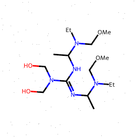 CCN(COC)C(C)/N=C(\NC(C)N(CC)COC)N(CO)CO